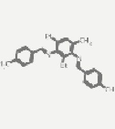 CCc1cc(C)c(N=Cc2ccc(C)cc2)c(CC)c1N=Cc1ccc(C)cc1